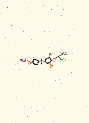 CC[C@@H](C)COc1ccc(C(C)(C)c2cc(Br)c(OC[C@@H](CCl)OC(C)=O)c(Br)c2)cc1